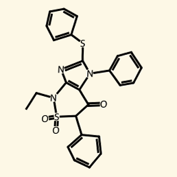 CCN1c2nc(Sc3ccccc3)n(-c3ccccc3)c2C(=O)C(c2ccccc2)S1(=O)=O